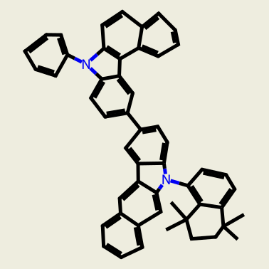 CC1(C)CCC(C)(C)c2c(-n3c4ccc(-c5ccc6c(c5)c5c7ccccc7ccc5n6-c5ccccc5)cc4c4cc5ccccc5cc43)cccc21